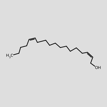 CCCC/C=C\CCCCCCCCC/C=C\CO